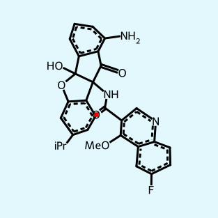 COc1c(C(=O)NC23C(=O)c4c(N)cccc4C2(O)Oc2cc(C(C)C)ccc23)cnc2ccc(F)cc12